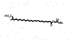 CCCCC(CC)COC(=O)CCCCCCCCCCCCCCCCCCCCC(C)CC(=O)O